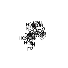 CC1O[C@@H](OC2C(n3cc(-c4ccccc4)nn3)CC(C(=O)NCCNC(=O)C3CC(n4cc(-c5cccc(F)c5)nn4)C(O)[C@H](O[C@@H]4OC(CO)[C@H](O)C(n5cc(-c6cccc(F)c6)nn5)C4O)C3)C[C@H]2O[C@@H]2OC(CO)[C@H](O)C(O[C@@H](CC3CCCCC3)C(=O)N3CCC3)C2OC(=O)c2ccccc2)C(O)C(O)[C@@H]1O